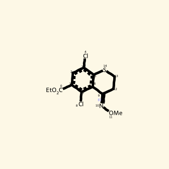 CCOC(=O)c1cc(Cl)c2c(c1Cl)/C(=N/OC)CCS2